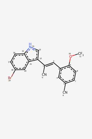 N#C/C(=C\c1cc(C#N)ccc1OC(F)(F)F)c1c[nH]c2ccc(Br)cc12